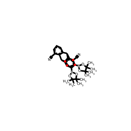 CC1(C)OB(c2cc3c(cc2B2OC(C)(C)C(C)(C)O2)C2c4cccc(C#N)c4C3c3cccc(C#N)c32)OC1(C)C